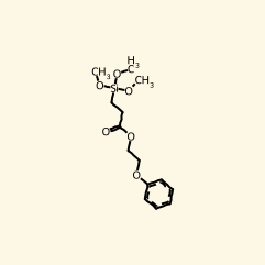 CO[Si](CCC(=O)OCCOc1ccccc1)(OC)OC